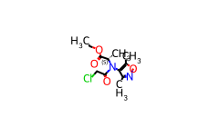 CCOC(=O)[C@H](C)N(C(=O)CCl)c1c(C)noc1C